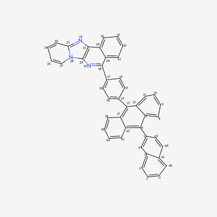 c1ccc2cc(-c3c4ccccc4c(-c4ccc(-c5nc6c(nc7ccccn76)c6ccccc56)cc4)c4ccccc34)ccc2c1